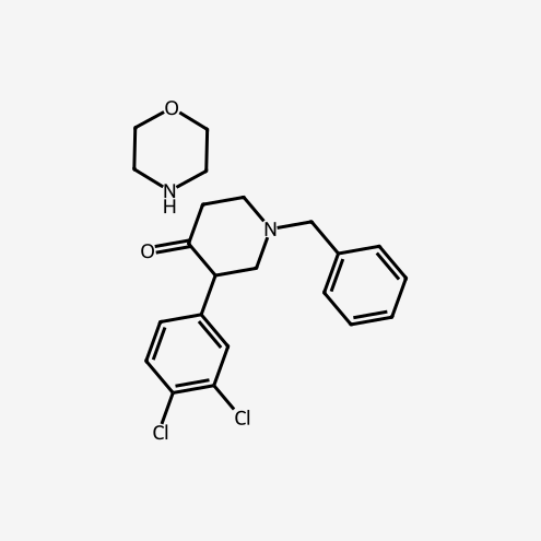 C1COCCN1.O=C1CCN(Cc2ccccc2)CC1c1ccc(Cl)c(Cl)c1